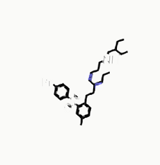 CC/C=C(\C=C/CCNCC(CC)CC)CCc1ccc(C)cc1S(=O)(=O)c1ccc(Br)cc1